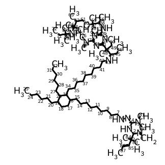 C=NC(N/C(=N\NCCCCCCCCCC1CCC(CCCCCC)C(CCCCCC)C1CCCCCCCCCNC(CC)C(C)(CC)c1nc(NC(C)C(C)(C)OCC(C)C(C)(C)NC(C)(C)CC)nc(N(C)C)n1)N(C)C)C(C)(C)C=CC